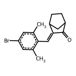 Cc1cc(Br)cc(C)c1C=C1C(=O)C2CCC1C2